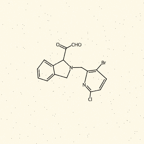 O=CC(=O)C1c2ccccc2CN1Cc1nc(Cl)ccc1Br